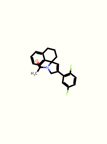 CC(=O)N1CC(c2cc(F)ccc2F)=CC12CCCc1ccccc12